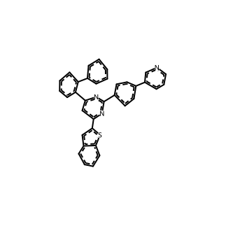 c1ccc(-c2ccccc2-c2cc(-c3cc4ccccc4s3)nc(-c3ccc(-c4cccnc4)cc3)n2)cc1